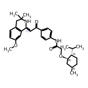 COc1ccc2c(c1)/C(=C/C(=O)c1ccc(NC(=O)CO[C@@H]3C[C@H](C)CC[C@H]3C(C)C)cc1)NC(C)(C)C2